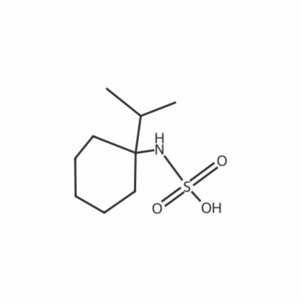 CC(C)C1(NS(=O)(=O)O)CCCCC1